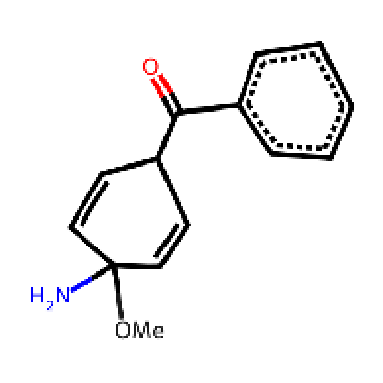 COC1(N)C=CC(C(=O)c2ccccc2)C=C1